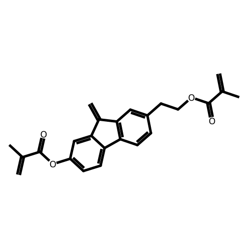 C=C(C)C(=O)OCCc1ccc2c(c1)C(=C)c1cc(OC(=O)C(=C)C)ccc1-2